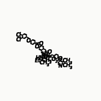 CCC(C)(C)NC(=O)N1Cc2cc3c(cc2C[C@H]1C(=O)N[C@@H](Cc1ccc(Oc2ccnc(C)c2C)cc1)C(=O)O)OC[C@H](c1ccc(OCc2ccc(Cl)c(Cl)c2)cc1)O3